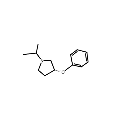 CC(C)N1CC[C@@H](Oc2ccccc2)C1